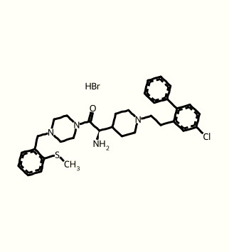 Br.CSc1ccccc1CN1CCN(C(=O)[C@H](N)C2CCN(CCc3cc(Cl)ccc3-c3ccccc3)CC2)CC1